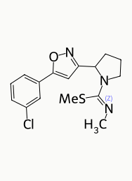 C/N=C(\SC)N1CCCC1c1cc(-c2cccc(Cl)c2)on1